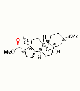 COC(=O)[C@H]1CC=C2[C@@H]3CC[C@@H]4C[C@@H](OC(C)=O)CC[C@]4(C)[C@H]3CC[C@@]21C